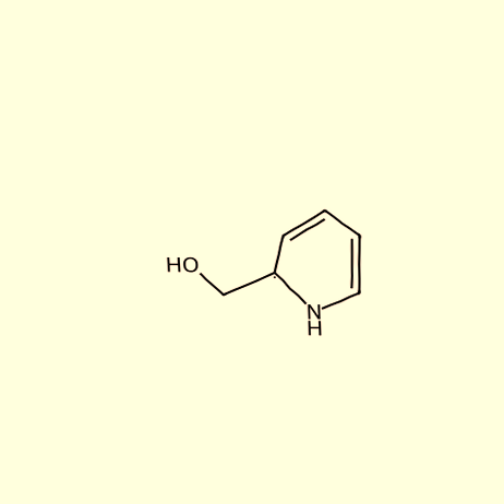 OC[C]1C=CC=CN1